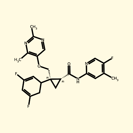 Cc1ncc(OC[C@@]2(C3C=C(F)C=C(F)C3)C[C@H]2C(=O)Nc2cc(C)c(F)cn2)c(C)n1